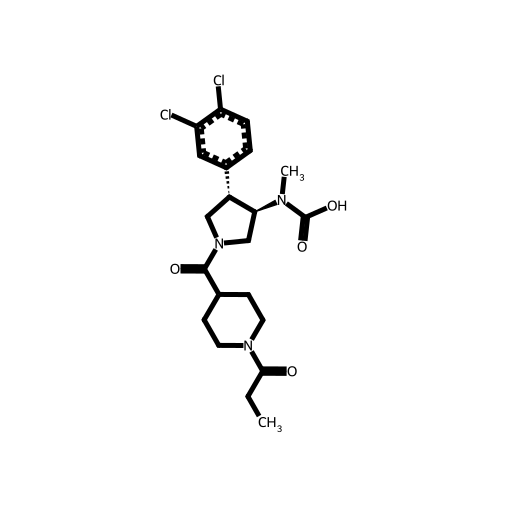 CCC(=O)N1CCC(C(=O)N2C[C@H](c3ccc(Cl)c(Cl)c3)[C@@H](N(C)C(=O)O)C2)CC1